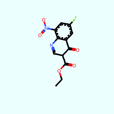 CCOC(=O)C1C=Nc2c(cc(F)cc2[N+](=O)[O-])C1=O